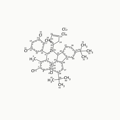 Cc1c(Cl)cc(Cl)cc1[C](c1cc(Cl)cc(Cl)c1C)=[Zr+2]([C]1=CC=CC1)[CH]1c2ccc(C(C)(C)C)cc2-c2cc(C(C)(C)C)ccc21.[Cl-].[Cl-]